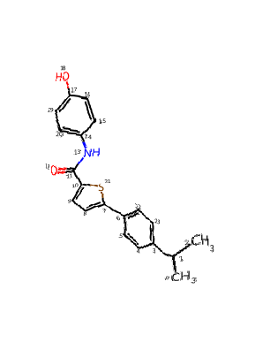 CC(C)c1ccc(-c2ccc(C(=O)Nc3ccc(O)cc3)s2)cc1